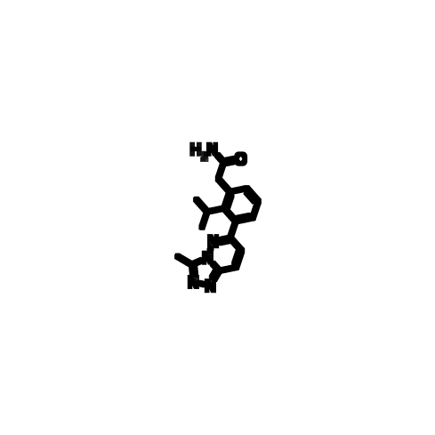 Cc1nnc2ccc(-c3cccc(CC(N)=O)c3C(C)C)nn12